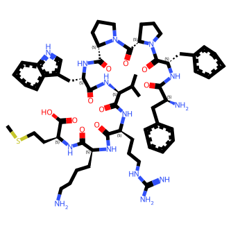 CSCC[C@H](NC(=O)[C@H](CCCCN)NC(=O)[C@H](CCCNC(=N)N)NC(=O)[C@@H](NC(=O)[C@H](Cc1c[nH]c2ccccc12)NC(=O)[C@@H]1CCCN1C(=O)[C@@H]1CCCN1C(=O)[C@H](Cc1ccccc1)NC(=O)[C@@H](N)Cc1ccccc1)C(C)C)C(=O)O